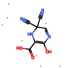 N#CC1(C#N)C=NC(O)=C(C(=O)O)N1